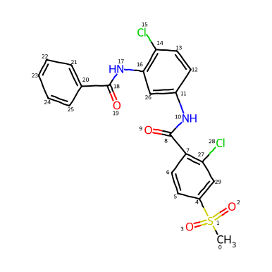 CS(=O)(=O)c1ccc(C(=O)Nc2ccc(Cl)c(NC(=O)c3ccccc3)c2)c(Cl)c1